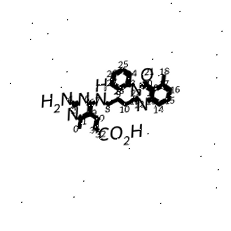 Cc1nc(N)nc(NCCCc2nc3cccc(C)c3c(=O)n2-c2ccccc2)c1C=CC(=O)O